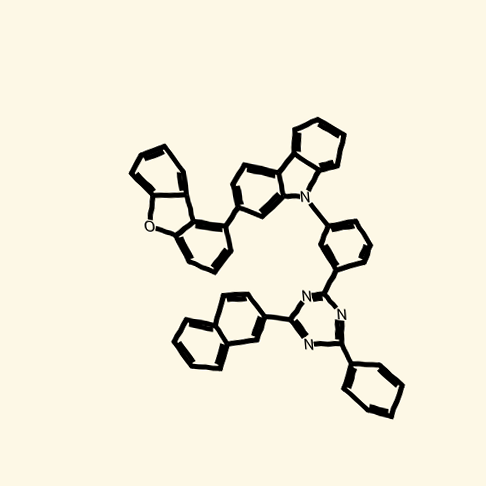 c1ccc(-c2nc(-c3cccc(-n4c5ccccc5c5ccc(-c6cccc7oc8ccccc8c67)cc54)c3)nc(-c3ccc4ccccc4c3)n2)cc1